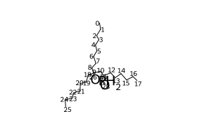 CCCCCCCCCC(CCCCCCCC)(CCCCCCCC)O[PH2]=O